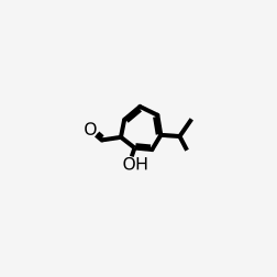 CC(C)C1=CC=CC(C=O)C(O)=C1